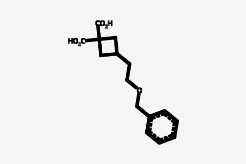 O=C(O)C1(C(=O)O)CC(CCOCc2ccccc2)C1